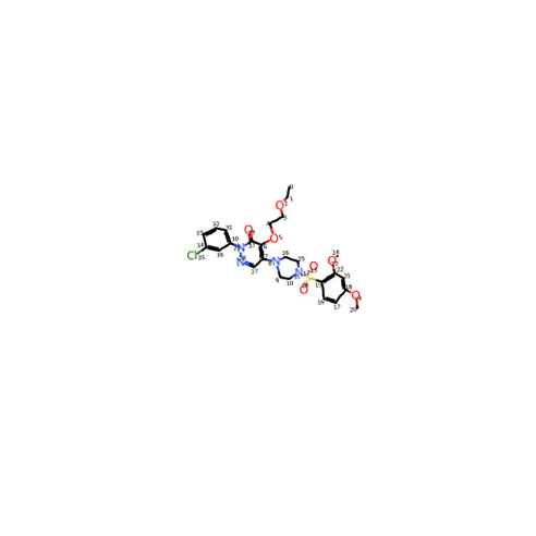 CCOCCOc1c(N2CCN(S(=O)(=O)c3ccc(OC)cc3OC)CC2)cnn(-c2cccc(Cl)c2)c1=O